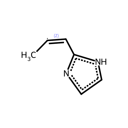 C/[C]=C\c1ncc[nH]1